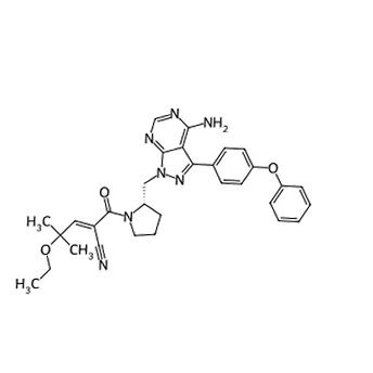 CCOC(C)(C)/C=C(\C#N)C(=O)N1CCC[C@H]1Cn1nc(-c2ccc(Oc3ccccc3)cc2)c2c(N)ncnc21